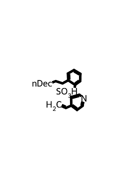 C=Cc1ccncc1.CCCCCCCCCCCCc1ccccc1S(=O)(=O)O